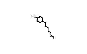 CCOCCCCCc1ccc(O)cc1